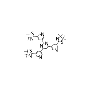 CC1(C)N=C(c2cncc(-c3cc(-c4cncc(C5=NC(C)(C)C(C)(C)S5)c4)nc(-c4cncc(C5=NC(C)(C)C(C)(C)S5)c4)n3)c2)SC1(C)C